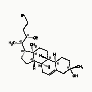 CC(C)CC[C@H](O)[C@@H](C)[C@H]1CC[C@H]2[C@@H]3CC=C4C[C@@](C)(O)CC[C@@H]4[C@H]3CC[C@]12C